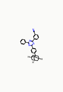 N#Cc1cccc(-c2nc(-c3ccccc3)nc(-c3ccc(C45C[C@H]6C[C@@H](C4)C[C@@H](C5)C6)cc3)n2)c1